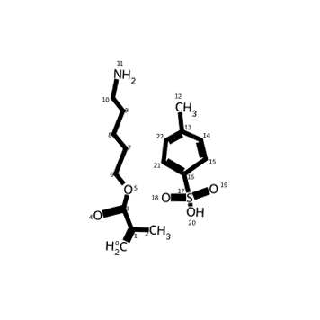 C=C(C)C(=O)OCCCCCN.Cc1ccc(S(=O)(=O)O)cc1